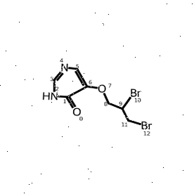 O=c1[nH]cncc1OCC(Br)CBr